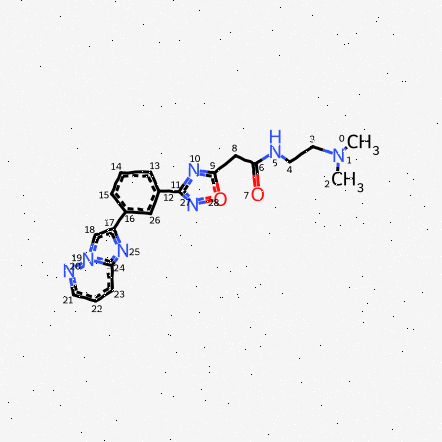 CN(C)CCNC(=O)Cc1nc(-c2cccc(-c3cn4ncccc4n3)c2)no1